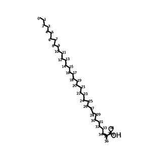 CCCCCCCCCCCCCCCCCCCCCCCCCCCCCCCCCCC=C(C)C(=O)O